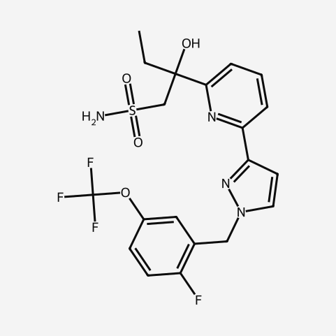 CCC(O)(CS(N)(=O)=O)c1cccc(-c2ccn(Cc3cc(OC(F)(F)F)ccc3F)n2)n1